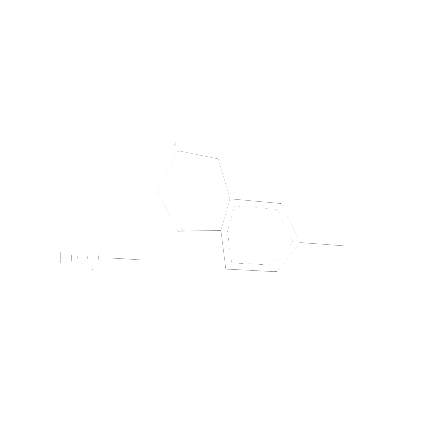 CCOC(=O)C[C@@H]1CCCc2cc(I)ccc21